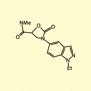 CCn1ncc2cc(N3CC(C(=O)NC)OC3=O)ccc21